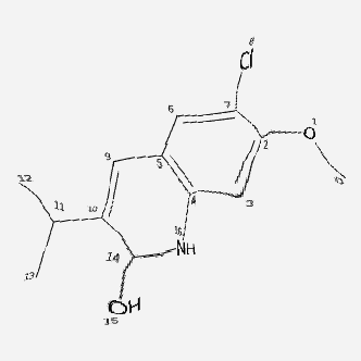 COc1cc2c(cc1Cl)C=C(C(C)C)C(O)N2